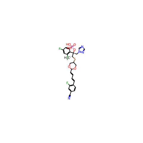 C[C@@H](SC1COC(C=CC=Cc2ccc(C#N)cc2F)OC1)[C@@](Cn1cncn1)(OP(=O)(O)O)c1ccc(F)cc1F